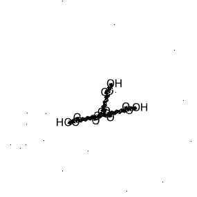 O=C(CCCCCCC(=O)OCC(COC(=O)CCCCCCC(=O)OCCO)OC(=O)CCCCCCC(=O)OCCO)OCCO